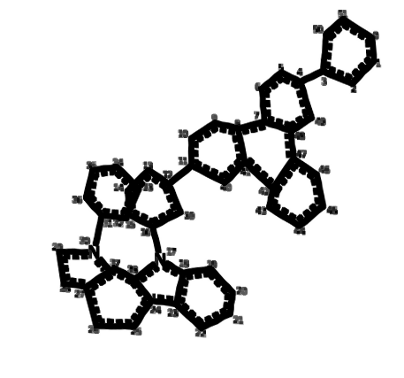 c1ccc(-c2ccc3c4ccc(-c5cccc(-n6c7ccccc7c7ccc8ccn(-c9ccccc9)c8c76)c5)cc4c4ccccc4c3c2)cc1